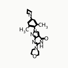 Cc1cc(N2CCC2)cc(C)c1-n1cc2c(=O)[nH]c(N3CCOCC3)nc2n1